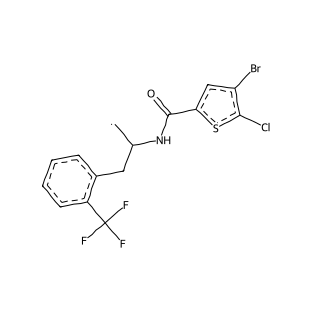 [CH2]C(Cc1ccccc1C(F)(F)F)NC(=O)c1cc(Br)c(Cl)s1